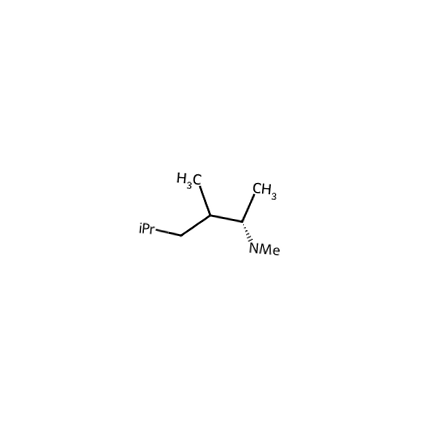 CN[C@@H](C)C(C)CC(C)C